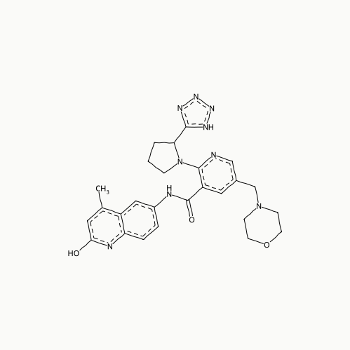 Cc1cc(O)nc2ccc(NC(=O)c3cc(CN4CCOCC4)cnc3N3CCCC3c3nnn[nH]3)cc12